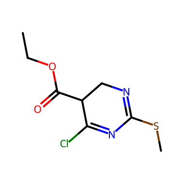 CCOC(=O)C1CN=C(SC)N=C1Cl